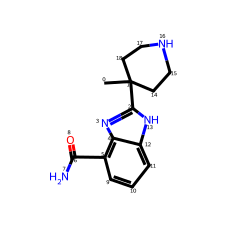 CC1(c2nc3c(C(N)=O)cccc3[nH]2)CCNCC1